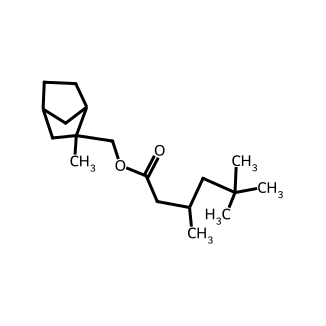 CC(CC(=O)OCC1(C)CC2CCC1C2)CC(C)(C)C